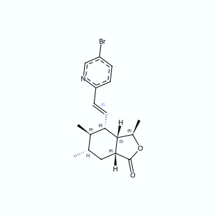 C[C@H]1[C@H](/C=C/c2ccc(Br)cn2)[C@@H]2[C@@H](C)OC(=O)[C@@H]2C[C@@H]1C